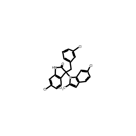 CCOC(=O)c1cc2ccc(Cl)cc2n1C1(Cc2cccc(Cl)c2)C(=O)Nc2cc(Cl)ccc21